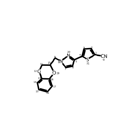 N#Cc1ccc(-c2ccn(CC3COc4ccccc4O3)n2)s1